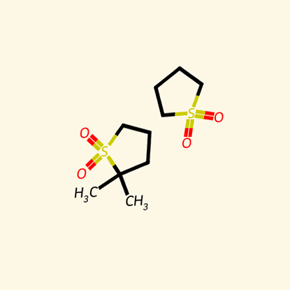 CC1(C)CCCS1(=O)=O.O=S1(=O)CCCC1